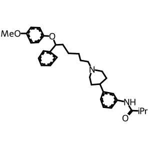 COc1ccc(OC(CCCCCN2CCC(c3cccc(NC(=O)C(C)C)c3)CC2)c2ccccc2)cc1